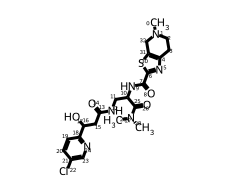 CN1CCc2nc(C(=O)NC(CNC(=O)CC(O)c3ccc(Cl)cn3)C(=O)N(C)C)sc2C1